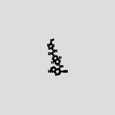 CSc1nsc(NC(=O)N2C[C@H]3C[C@H](N(C)c4c(C#N)cnc5[nH]ccc45)C[C@H]3C2)n1